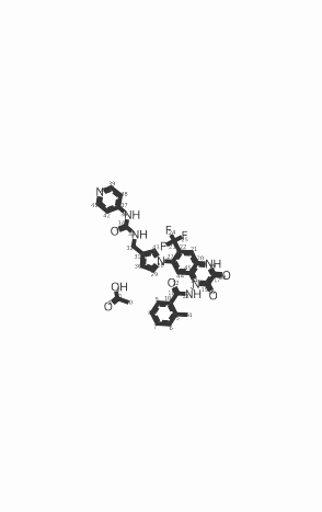 CC(=O)O.Cc1ccccc1C(=O)Nn1c(=O)c(=O)[nH]c2cc(C(F)(F)F)c(-n3ccc(CNC(=O)Nc4ccncc4)c3)cc21